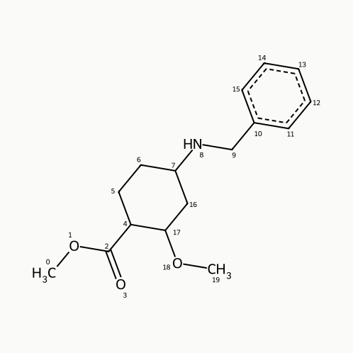 COC(=O)C1CCC(NCc2ccccc2)CC1OC